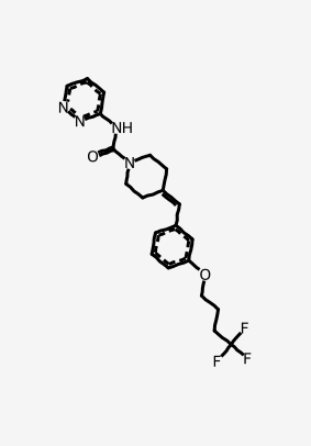 O=C(Nc1cccnn1)N1CCC(=Cc2cccc(OCCCC(F)(F)F)c2)CC1